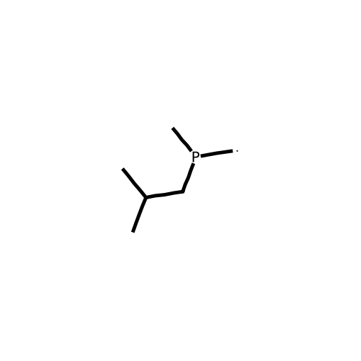 [CH2]P(C)CC(C)C